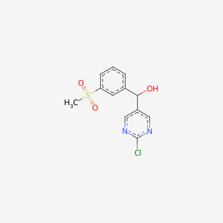 CS(=O)(=O)c1cccc(C(O)c2cnc(Cl)nc2)c1